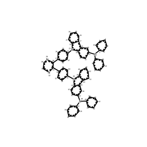 c1ccc(N(c2ccccc2)c2ccc3c(c2)c2ccccc2n3-c2ccc(-c3nccnc3-c3ccc(-n4c5ccccc5c5cc(N(c6ccccc6)c6ccccc6)ccc54)cc3)cc2)cc1